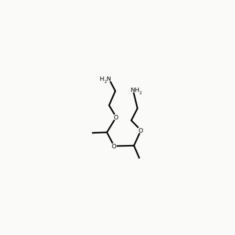 CC(OCCN)OC(C)OCCN